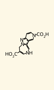 O=C(O)C1=CNC=c2c3c(nn2C1)C=CN(C(=O)O)C=3